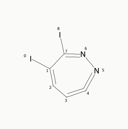 IC1=CC=C=NN=C1I